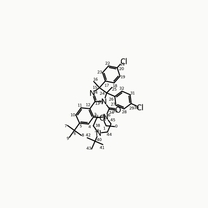 CCOc1cc(C(C)(C)C)ccc1C1=NC(C)(c2ccc(Cl)cc2)C(C)(c2ccc(Cl)cc2)N1C(=O)N1CCN(C(C)(C)C)CC1